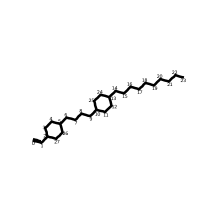 C=CC1CCC(CCCCC2CCC(CCCCCCCCCC)CC2)CC1